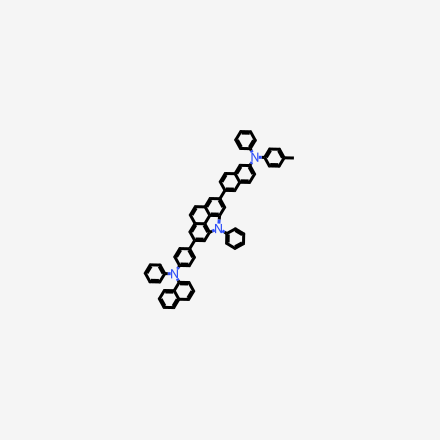 Cc1ccc(N(c2ccccc2)c2ccc3cc(-c4cc5ccc6cc(-c7ccc(N(c8ccccc8)c8cccc9ccccc89)cc7)cc7c6c5c(c4)n7-c4ccccc4)ccc3c2)cc1